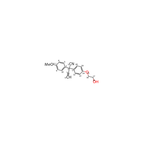 C#CC(C#N)(c1ccc(OC)cc1)c1ccc(OCCO)cc1